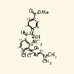 COC(=O)c1ccc(N(N[N+](=O)[O-])C(=O)c2ccc(Cl)c(S(=O)(=O)N=CN(C)C)c2)cc1